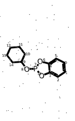 c1ccc2c(c1)OP(OC1CCCCC1)O2